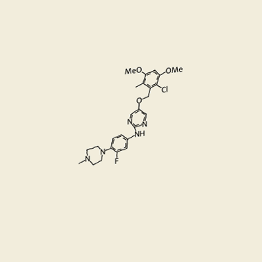 COc1cc(OC)c(Cl)c(COc2cnc(Nc3ccc(N4CCN(C)CC4)c(F)c3)nc2)c1C